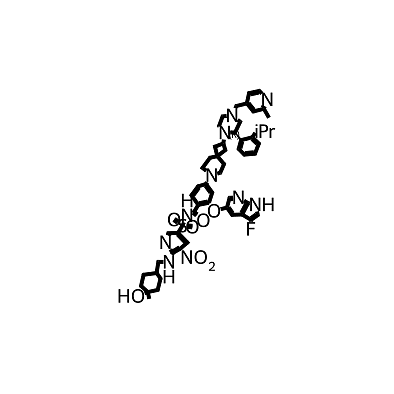 Cc1cc(CN2CCN(C3CC4(CCN(c5ccc(C(=O)NS(=O)(=O)c6cnc(NCC7CCC(C)(O)CC7)c([N+](=O)[O-])c6)c(Oc6cnc7[nH]cc(F)c7c6)c5)CC4)C3)[C@H](c3ccccc3C(C)C)C2)ccn1